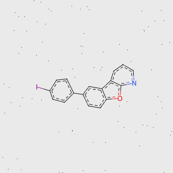 Ic1ccc(-c2ccc3oc4ncccc4c3c2)cc1